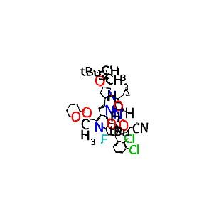 C[C@@H](OC1CCCCO1)c1nc2c(F)c(-c3cccc(Cl)c3Cl)c(CCC#N)cc2c2c1cc([C@H]1C[C@H](O[Si](C)(C)C(C)(C)C)CN1C(=O)C1CC1)n2[C@H]1[C@@H]2C[C@H]1N(C(=O)OC(C)(C)C)C2